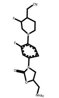 CC(=O)NCC1CN(c2ccc(N3CCC(CC#N)C(F)C3)c(F)c2)C(=O)O1